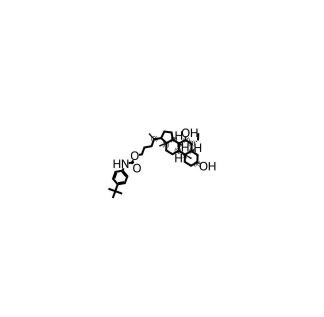 CC[C@H]1[C@@H](O)[C@@H]2[C@H](CC[C@]3(C)C([C@H](C)CCCOC(=O)Nc4ccc(C(C)(C)C)cc4)CC[C@@H]23)[C@@]2(C)CC[C@@H](O)C[C@@H]12